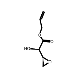 C=CCOC(=O)[C@H](O)[C@@H]1CO1